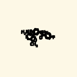 CC1OCC2(c3cc(NC(=O)c4ccc(F)cn4)ccc3F)N=C(N)SCC12